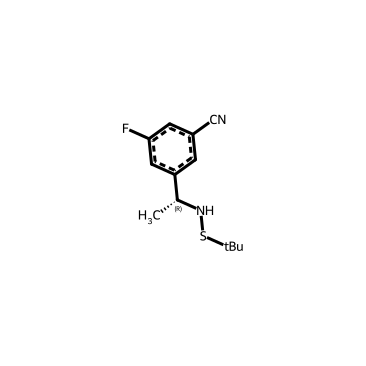 C[C@@H](NSC(C)(C)C)c1cc(F)cc(C#N)c1